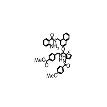 COC(=O)c1ccc(CNC(=O)c2sccc2NC(=O)c2ccc(OC)cc2)cc1.Nc1ccccc1C(=O)NCc1cccc2ccccc12